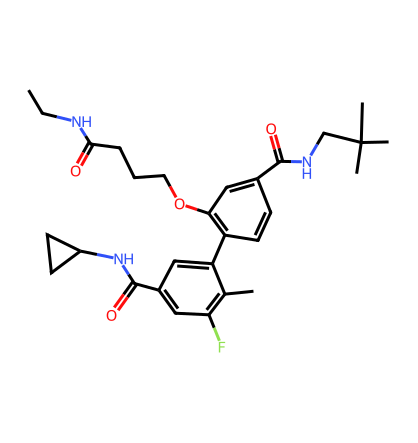 CCNC(=O)CCCOc1cc(C(=O)NCC(C)(C)C)ccc1-c1cc(C(=O)NC2CC2)cc(F)c1C